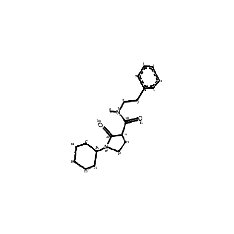 CN(CCc1ccccc1)C(=O)C1CCN(C2CCCCC2)C1=O